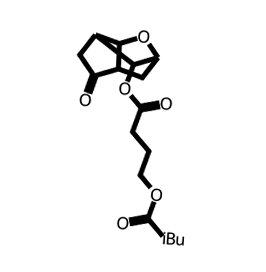 CCC(C)C(=O)OCCCC(=O)OC1C2CC3C(=O)CC1C3O2